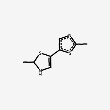 Cc1ncc(C2=CNC(C)S2)s1